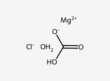 O.O=C([O-])O.[Cl-].[Mg+2]